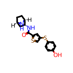 O=C(N[C@@H]1C[C@H]2CC[C@@H]1N2)c1cc(Sc2ccc(O)cc2)cs1